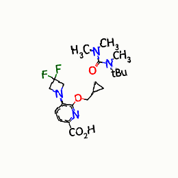 CN(C)C(=O)N(C)C(C)(C)C.O=C(O)c1ccc(N2CC(F)(F)C2)c(OCC2CC2)n1